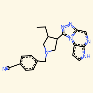 CCC1CN(Cc2ccc(C#N)cc2)CC1c1nnc2cnc3[nH]ccc3n12